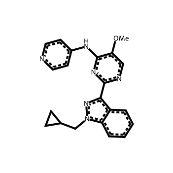 COc1cnc(-c2nn(CC3CC3)c3ccccc23)nc1Nc1ccncc1